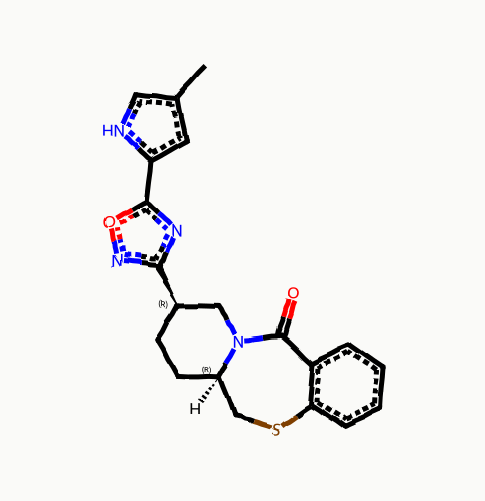 Cc1c[nH]c(-c2nc([C@@H]3CC[C@@H]4CSc5ccccc5C(=O)N4C3)no2)c1